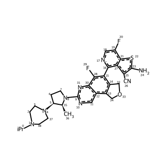 CC(C)N1CCN([C@H]2CCN(c3ncc4c5c(c(-c6ncc(F)c7sc(N)c(C#N)c67)c(F)c4n3)COC5)[C@H]2C)CC1